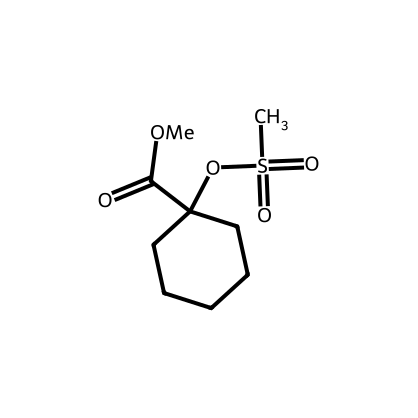 COC(=O)C1(OS(C)(=O)=O)CCCCC1